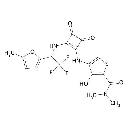 Cc1ccc([C@H](Nc2c(Nc3csc(C(=O)N(C)C)c3O)c(=O)c2=O)C(F)(F)F)o1